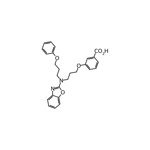 O=C(O)c1cccc(OCCCN(CCCOc2ccccc2)c2nc3ccccc3o2)c1